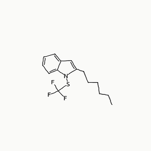 CCCCCCc1cc2ccccc2n1SC(F)(F)F